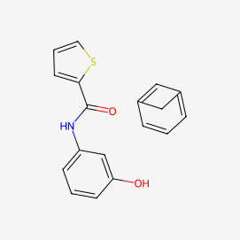 O=C(Nc1cccc(O)c1)c1cccs1.c1cc2cc(c1)C2